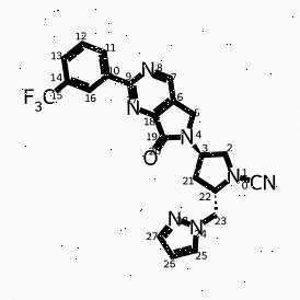 N#CN1C[C@H](N2Cc3cnc(-c4cccc(C(F)(F)F)c4)nc3C2=O)C[C@H]1Cn1cccn1